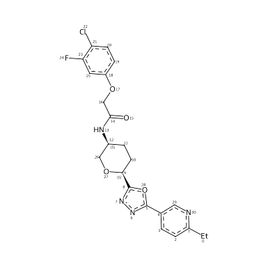 CCc1ccc(-c2nnc([C@@H]3CC[C@H](NC(=O)COc4ccc(Cl)c(F)c4)CO3)o2)cn1